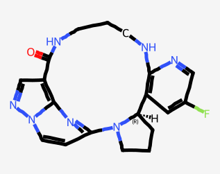 O=C1NCCCNc2ncc(F)cc2[C@H]2CCCN2c2ccn3ncc1c3n2